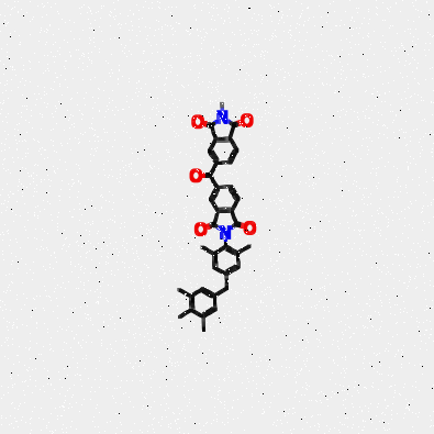 Cc1cc(Cc2cc(C)c(N3C(=O)c4ccc(C(=O)c5ccc6c(c5)C(=O)N(C)C6=O)cc4C3=O)c(C)c2)cc(C)c1C